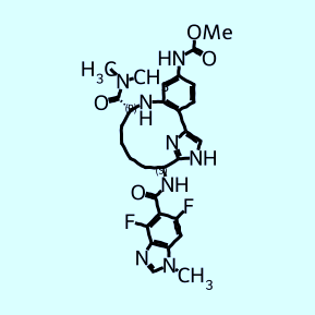 COC(=O)Nc1ccc2c(c1)N[C@@H](C(=O)N(C)C)CCCC[C@H](NC(=O)c1c(F)cc3c(ncn3C)c1F)c1nc-2c[nH]1